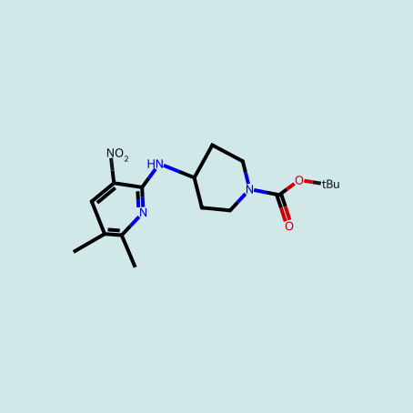 Cc1cc([N+](=O)[O-])c(NC2CCN(C(=O)OC(C)(C)C)CC2)nc1C